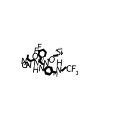 Cc1nonc1C(=O)N[C@H](c1nc2ccc([C@@H](C)NCCC(F)(F)F)cc2n1COCC[Si](C)(C)C)[C@@H]1CCCC(F)(F)C1